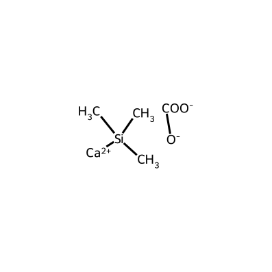 C[Si](C)(C)[Ca+2].O=C([O-])[O-]